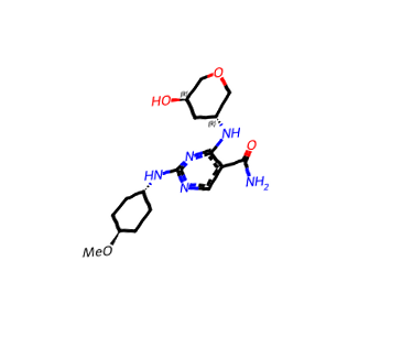 CO[C@H]1CC[C@H](Nc2ncc(C(N)=O)c(N[C@H]3COC[C@H](O)C3)n2)CC1